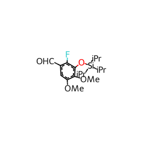 COc1cc(C=O)c(F)c(O[Si](C(C)C)(C(C)C)C(C)C)c1OC